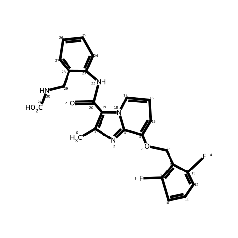 Cc1nc2c(OCc3c(F)cccc3F)cccn2c1C(=O)Nc1ccccc1CNC(=O)O